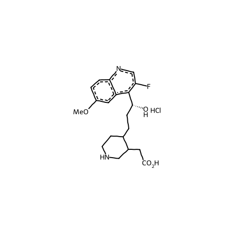 COc1ccc2ncc(F)c([C@H](O)CCC3CCNCC3CC(=O)O)c2c1.Cl